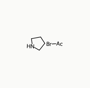 C1CCNC1.CC(=O)Br